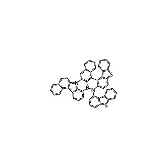 c1ccc2c3c4c(cc2c1)-n1c2ccc5ccccc5c2c2cccc(c21)B4N(c1cccc2sc4ccccc4c12)c1ccc2sc4ccccc4c2c1-3